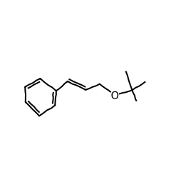 CC(C)(C)OC/C=C/c1ccccc1